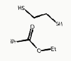 CCOC(=O)C(C)C.SCCS